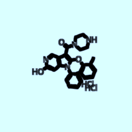 Cc1cccc(C)c1Oc1c(C(=O)N2CCNCC2)c2cnc(O)cc2n1-c1ccccc1.Cl.Cl